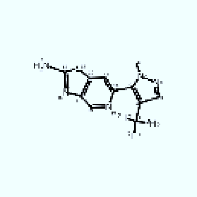 [2H]C([2H])([2H])c1cnn(C)c1-c1cc2sc(N)nc2cn1